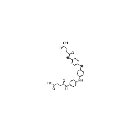 O=C(O)CCC(=O)Nc1ccc(Nc2ccc(Nc3ccc(NC(=O)CCC(=O)O)cc3)cc2)cc1